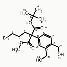 COC(=O)C(CCCBr)(C(=O)OC(C)(C)C)c1ccc(CO)c(CO)c1